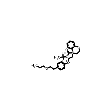 [CH2]CCOCCc1ccc(OCC[N+]2(C(=O)OC(C)(C)C)CCSc3ccccc32)cc1